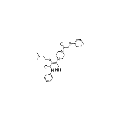 CN(C)CCSC1=C(N2CCN(C(=O)CSc3ccncc3)CC2)CNN(c2ccccc2)C1=O